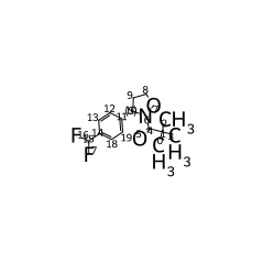 CC(C)(C)C(=O)N1OCC[C@H]1c1ccc(C(F)F)cc1